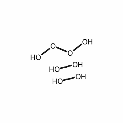 OO.OO.OOOO